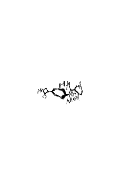 CNC1=C(C(N)Nc2ccc(C3CNC3=O)cc2)CN(C)CC1